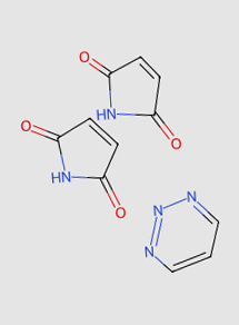 O=C1C=CC(=O)N1.O=C1C=CC(=O)N1.c1cnnnc1